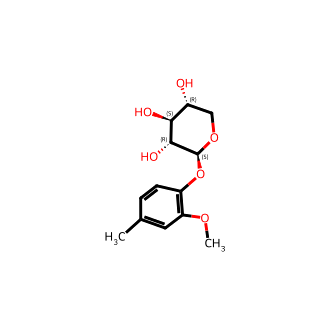 COc1cc(C)ccc1O[C@@H]1OC[C@@H](O)[C@H](O)[C@H]1O